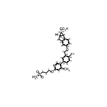 Cc1cc(OCCCS(C)(=O)=O)ncc1-c1ccc(F)c(COc2ccc3c(c2)C[C@@H]2C3[C@H]2C(=O)O)c1